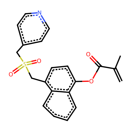 C=C(C)C(=O)Oc1ccc(CS(=O)(=O)Cc2ccncc2)c2ccccc12